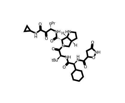 CCC[C@H](NC(=O)[C@@H]1[C@H]2NCC[C@H]2CN1C(=O)[C@@H](NC(=O)[C@@H](NC(=O)C1CC(=O)NO1)C1CCCCC1)C(C)(C)C)C(=O)C(=O)NC1CC1